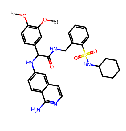 CCOc1cc(C(Nc2ccc3c(N)nccc3c2)C(=O)NCc2ccccc2S(=O)(=O)NC2CCCCC2)ccc1OC(C)C